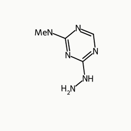 CNc1ncnc(NN)n1